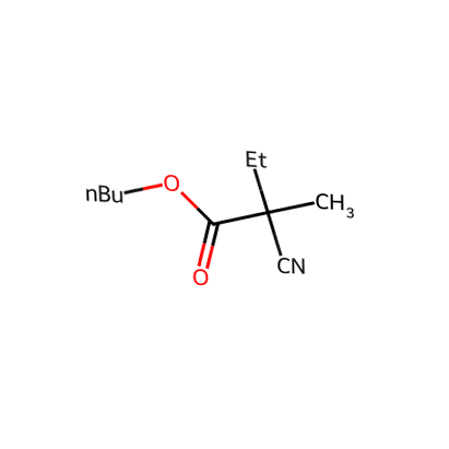 CCCCOC(=O)C(C)(C#N)CC